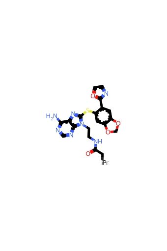 CC(C)CC(=O)NCCn1c(Sc2cc3c(cc2-c2ncco2)OCO3)nc2c(N)ncnc21